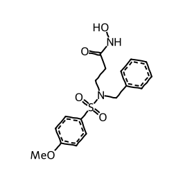 COc1ccc(S(=O)(=O)N(CCC(=O)NO)Cc2ccccc2)cc1